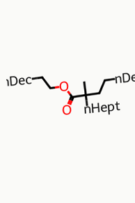 CCCCCCCCCCCCOC(=O)C(C)(CCCCCCC)CCCCCCCCCCCC